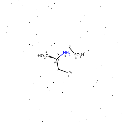 CC(C)C[C@H](N)C(=O)O.CS(=O)(=O)O